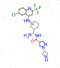 NC(NC(=O)c1cnn(C2CNC2)c1)C1CCC[C@H](Nc2cc(C(F)(F)F)nc3ccc(Cl)cc23)C1